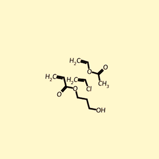 C=CC(=O)OCCCO.C=CCl.C=COC(C)=O